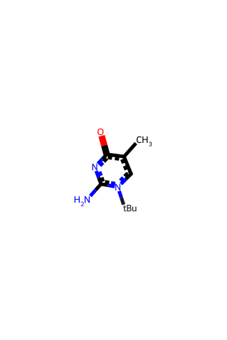 Cc1cn(C(C)(C)C)c(N)nc1=O